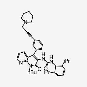 CCCCn1c(=O)c(NC(=O)Nc2c(C(C)C)cccc2C(C)C)c(-c2cccc(C#CCN3CCCCC3)c2)c2cccnc21